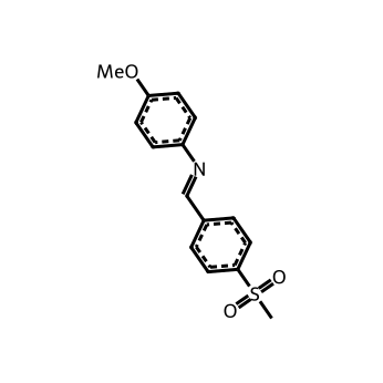 COc1ccc(N=Cc2ccc(S(C)(=O)=O)cc2)cc1